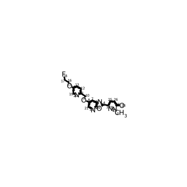 Cn1nc(-c2nc3cc(OCc4ccc(OCCF)cn4)cnc3o2)ccc1=O